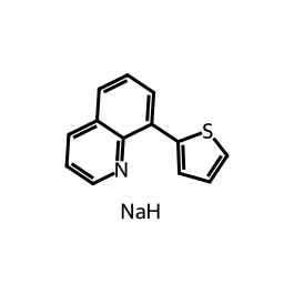 [NaH].c1csc(-c2cccc3cccnc23)c1